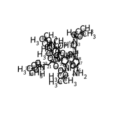 CN(C(=O)OC(C)(C)C)[C@@H]1[C@@H](O)[C@@H](O[C@H]2[C@H](NC(=O)[C@@H](O)CCNC(=O)OC(C)(C)C)C[C@H](NC(=O)OC(C)(C)C)C([C@H]3OC(CN)=CC[C@H]3NCC3CCN(C(=O)OC(C)(C)C)C3)[C@@H]2O)OC[C@]1(C)O